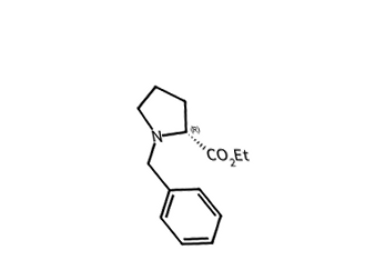 CCOC(=O)[C@H]1CCCN1Cc1ccccc1